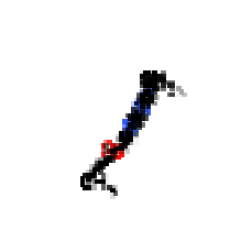 CCCCCCCCCC(=O)OCCc1ccc(N=Nc2ccc(N=Nc3ccc(N(CC)CC)cc3)cc2)cc1